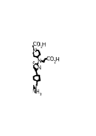 NN=Cc1ccc(-c2csc(N(CCC(=O)O)C3CCN(CC(=O)O)CC3)n2)cc1